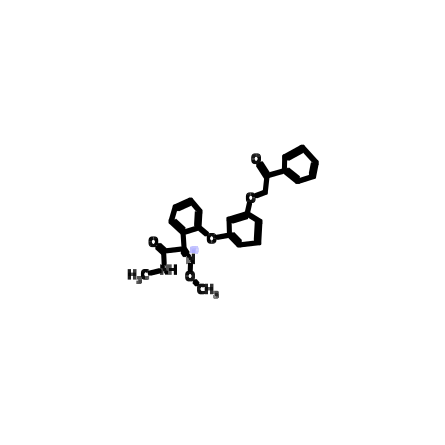 CNC(=O)/C(=N\OC)c1ccccc1Oc1cccc(OCC(=O)c2ccccc2)c1